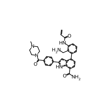 C=CC(=O)Nc1cccc(-c2ccc(C(N)=O)c3[nH]c(-c4ccc(C(=O)N5CCN(C)CC5)cc4)cc23)c1CN